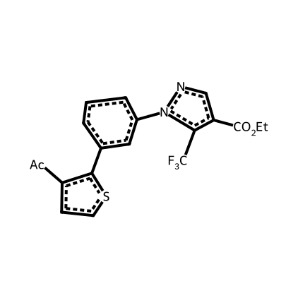 CCOC(=O)c1cnn(-c2cccc(-c3sccc3C(C)=O)c2)c1C(F)(F)F